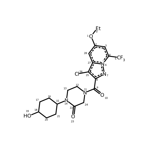 CCOc1cc(C(F)(F)F)n2nc(C(=O)N3CCN(C4CCC(O)CC4)C(=O)C3)c(Cl)c2c1